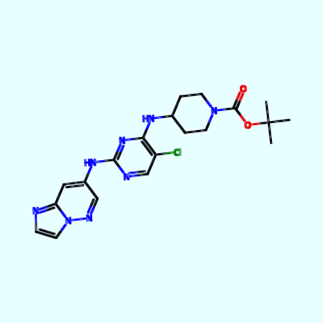 CC(C)(C)OC(=O)N1CCC(Nc2nc(Nc3cnn4ccnc4c3)ncc2Cl)CC1